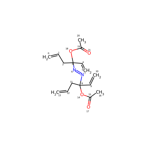 C=CCC(C=C)(N=NC(C=C)(CC=C)OC(C)=O)OC(C)=O